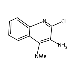 CNc1c(N)c(Cl)nc2ccccc12